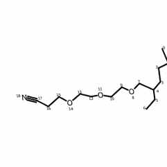 CCCCC(CC)COCCOCCOCCC#N